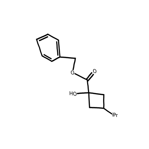 CC(C)C1CC(O)(C(=O)OCc2ccccc2)C1